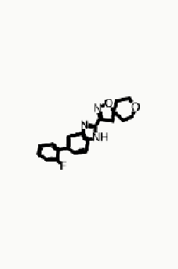 Fc1ccccc1-c1ccc2[nH]c(C3=NOC4(CCOCC4)C3)nc2c1